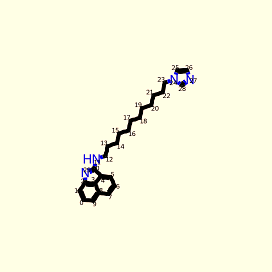 c1cc2c3c(cccc3c1)C(NCCCCCCCCCCCCn1ccnc1)=N2